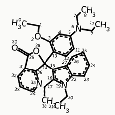 CCOc1cc(N(CC)CC)ccc1C1(c2c(CC)n(CC)c3ccccc23)OC(=O)c2cccnc21